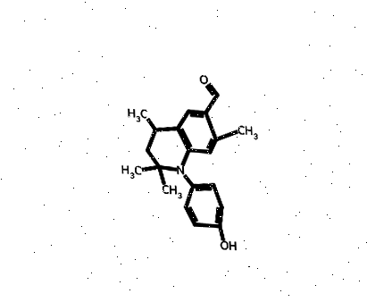 Cc1cc2c(cc1C=O)C(C)CC(C)(C)N2c1ccc(O)cc1